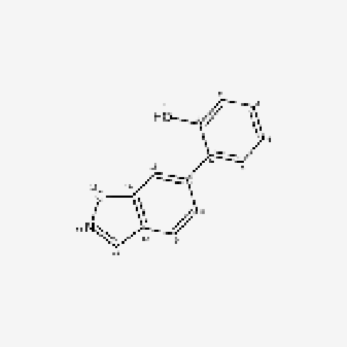 Oc1ccccc1-c1ccc2cnoc2c1